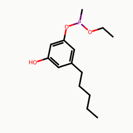 CCCCCc1cc(O)cc(OP(C)OCC)c1